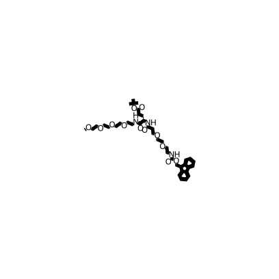 COCCOCCOCCOCCNC(=O)[C@H](CCC(=O)OC(C)(C)C)NC(=O)CCOCCOCCNC(=O)OCC1c2ccccc2-c2ccccc21